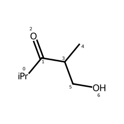 CC(C)C(=O)C(C)CO